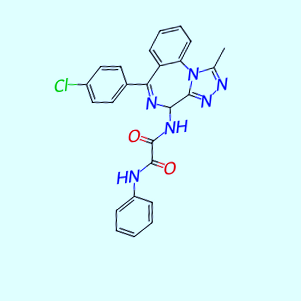 Cc1nnc2n1-c1ccccc1C(c1ccc(Cl)cc1)=NC2NC(=O)C(=O)Nc1ccccc1